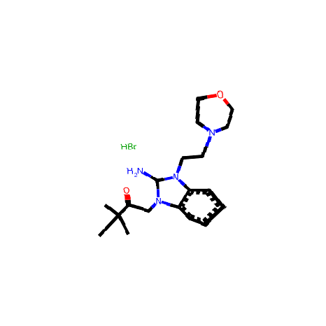 Br.CC(C)(C)C(=O)CN1c2ccccc2N(CCN2CCOCC2)C1N